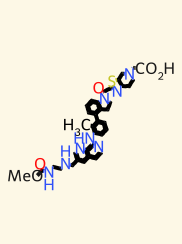 COC(=O)NCCNCc1cnc2c(Nc3cccc(-c4cccc5c4CCN5C(=O)C4=NC5CCN(CC(=O)O)CC5S4)c3C)nccc2c1